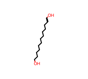 OC=CCCCCCCCCCCCO